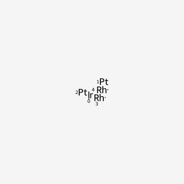 [Ir].[Pt].[Pt].[Rh].[Rh]